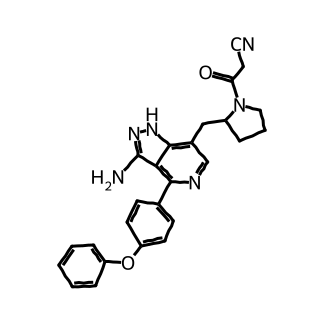 N#CCC(=O)N1CCCC1Cc1cnc(-c2ccc(Oc3ccccc3)cc2)c2c(N)n[nH]c12